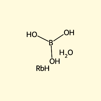 O.OB(O)O.[RbH]